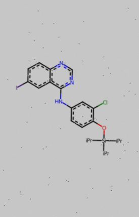 CC(C)[Si](Oc1ccc(Nc2ncnc3ccc(I)cc23)cc1Cl)(C(C)C)C(C)C